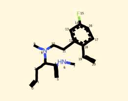 C=CCC(C(=C)NC)N(C)CCc1cc(F)ccc1C=C